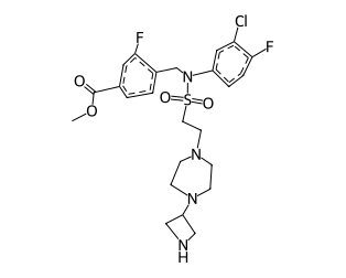 COC(=O)c1ccc(CN(c2ccc(F)c(Cl)c2)S(=O)(=O)CCN2CCN(C3CNC3)CC2)c(F)c1